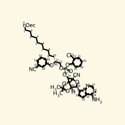 CCCCCCCCCCCCCCCCCCCC[C@H](COP(=O)(Oc1ccccc1Cl)OC1[C@@]2(C#N)O[C@@H](c3ccc4c(N)ncnn34)[C@@H]3OC(C)(C)O[C@@]132)Oc1cccc(C#N)c1